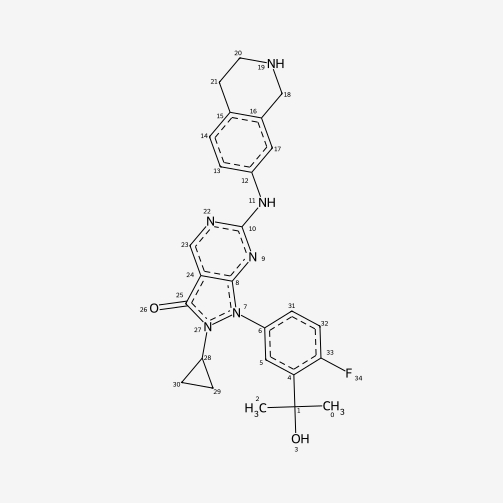 CC(C)(O)c1cc(-n2c3nc(Nc4ccc5c(c4)CNCC5)ncc3c(=O)n2C2CC2)ccc1F